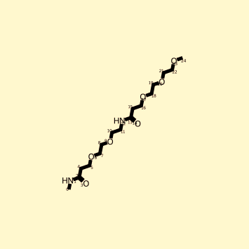 CNC(=O)CCOCCOCCNC(=O)CCOCCOCCOC